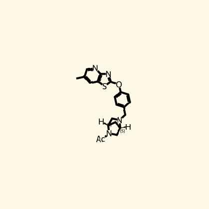 CC(=O)N1C[C@@H]2C[C@H]1CN2Cc1ccc(Oc2nc3ncc(C)cc3s2)cc1